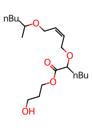 CCCCC(C)OC/C=C\COC(CCCC)C(=O)OCCCO